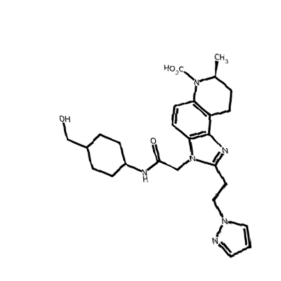 C[C@H]1CCc2c(ccc3c2nc(CCn2cccn2)n3CC(=O)NC2CCC(CO)CC2)N1C(=O)O